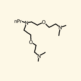 CCCN(CCOCCN(C)C)CCOCCN(C)C